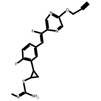 C#CCOc1cnc(/C(F)=C/c2ccc(F)c(C3CC3S/C(N)=N\C)c2)cn1